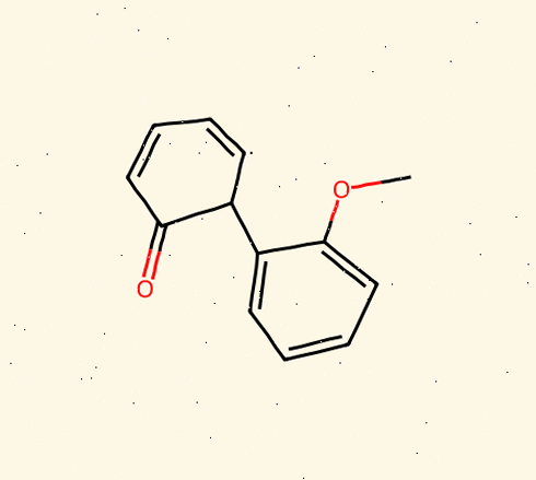 COc1ccccc1C1[C]=CC=CC1=O